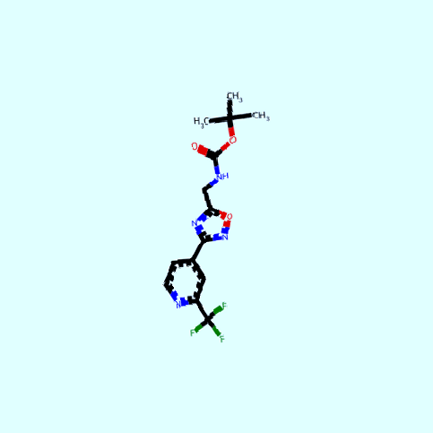 CC(C)(C)OC(=O)NCc1nc(-c2ccnc(C(F)(F)F)c2)no1